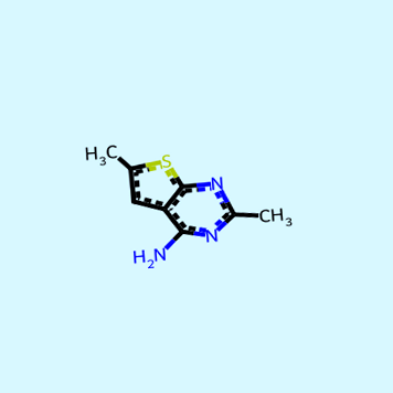 Cc1nc(N)c2cc(C)sc2n1